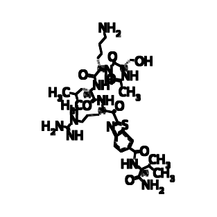 CC(=O)N[C@@H](CO)C(=O)N[C@@H](CCCCN)C(=O)N[C@@H](CC(C)C)C(=O)N[C@@H](CCCNC(=N)N)C(=O)c1nc2ccc(C(=O)N[C@H](C(N)=O)C(C)C)cc2s1